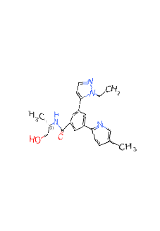 CCn1nccc1-c1cc(C(=O)N[C@@H](C)CO)cc(-c2ccc(C)cn2)c1